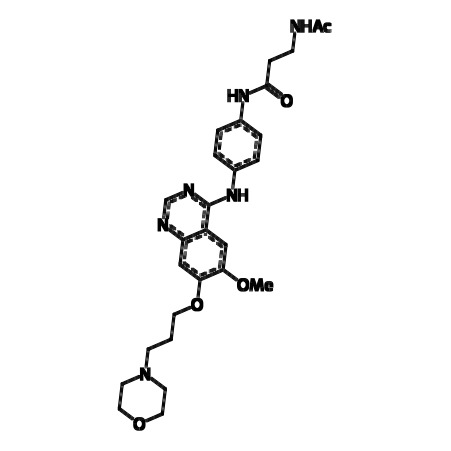 COc1cc2c(Nc3ccc(NC(=O)CCNC(C)=O)cc3)ncnc2cc1OCCCN1CCOCC1